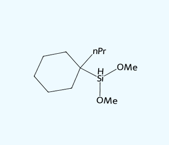 CCCC1([SiH](OC)OC)CCCCC1